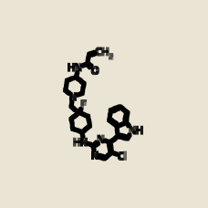 C=CC(=O)NC1CCN(CC2(F)CCC(Nc3ncc(Cl)c(-c4c[nH]c5ccccc45)n3)CC2)CC1